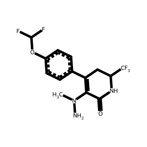 CN(N)C1=C(c2ccc(OC(F)F)cc2)CC(C(F)(F)F)NC1=O